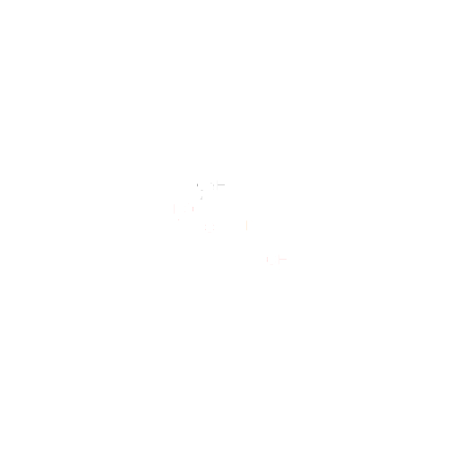 O.O=PO.[GaH3]